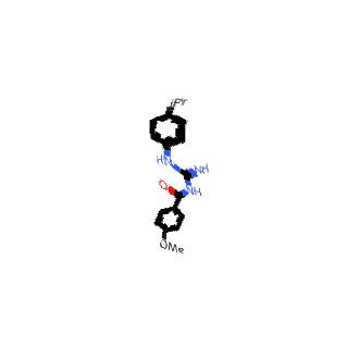 COc1ccc(C(=O)NC(=N)Nc2ccc(C(C)C)cc2)cc1